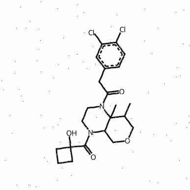 CC1COCC2N(C(=O)C3(O)CCC3)CCN(C(=O)Cc3ccc(Cl)c(Cl)c3)C12C